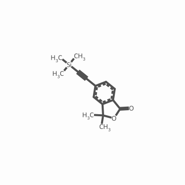 CC1(C)OC(=O)c2ccc(C#C[Si](C)(C)C)cc21